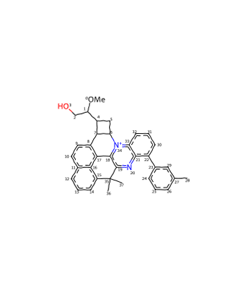 COC(CO)C1CC2C1c1ccc3cccc4c3c1-c1c(nc3c(-c5cccc(C)c5)cccc3[n+]12)C4(C)C